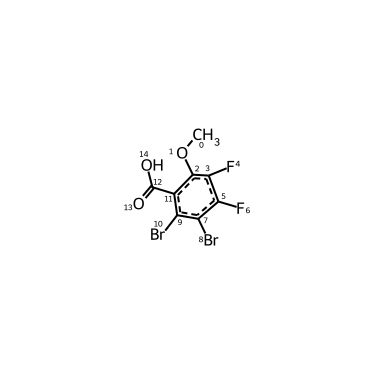 COc1c(F)c(F)c(Br)c(Br)c1C(=O)O